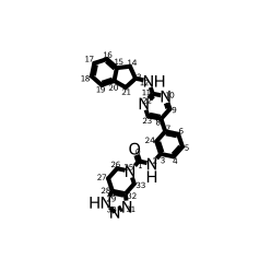 O=C(Nc1cccc(-c2cnc(NC3Cc4ccccc4C3)nc2)c1)N1CCc2[nH]nnc2C1